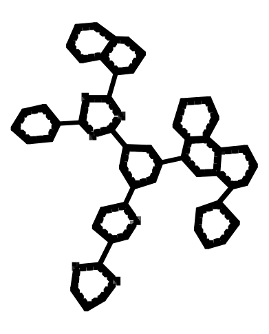 c1ccc(-c2nc(-c3cc(-c4ccc(-c5ncccn5)cn4)cc(-c4cc5c(-c6ccccc6)cccc5c5ccccc45)c3)nc(-c3cccc4ccccc34)n2)cc1